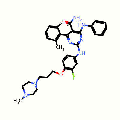 Cc1cccc(C)c1-c1nc(Nc2ccc(OCCCN3CCN(C)CC3)c(F)c2)nc(Nc2ccccc2)c1C(N)=O